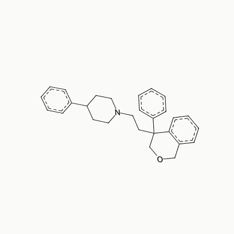 c1ccc(C2CCN(CCC3(c4ccccc4)COCc4ccccc43)CC2)cc1